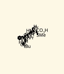 CSCCC(NC(=O)C(CC(C)C)NC(=O)CNC(=O)C(NC(=O)C(Cc1ccccc1)NC(=O)C(C)NC(=O)OC(C)(C)C)C(C)C)C(=O)O